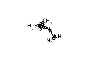 Cc1ccc(N(C(=O)c2cc3cc(N4CCN(CCCCc5c[nH]c6ccc(C#N)cc56)CC4)ccc3o2)S(=O)(=O)c2ccc(C)cc2)cc1